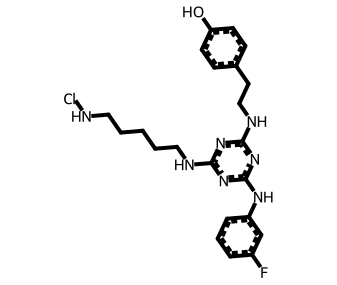 Oc1ccc(CCNc2nc(NCCCCCNCl)nc(Nc3cccc(F)c3)n2)cc1